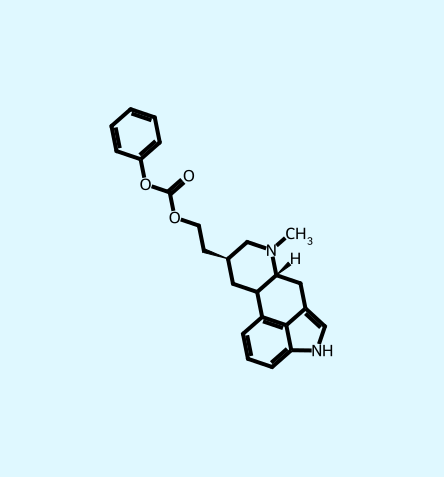 CN1C[C@H](CCOC(=O)Oc2ccccc2)CC2c3cccc4[nH]cc(c34)C[C@H]21